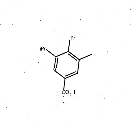 Cc1cc(C(=O)O)nc(C(C)C)c1C(C)C